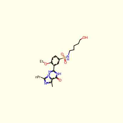 CCCc1nc(C)c2c(=O)[nH]c(-c3cc(S(=O)(=O)NCCCCCO)ccc3OCC)nn12